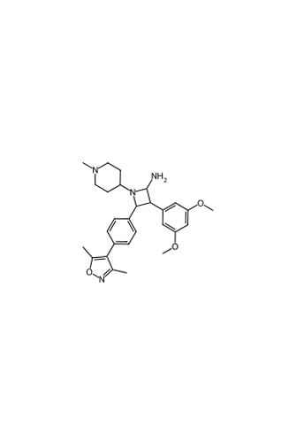 COc1cc(OC)cc(C2C(N)N(C3CCN(C)CC3)C2c2ccc(-c3c(C)noc3C)cc2)c1